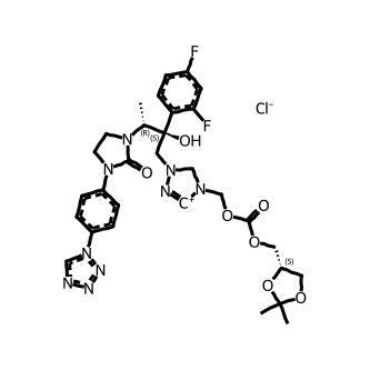 C[C@@H](N1CCN(c2ccc(-n3cnnn3)cc2)C1=O)[C@@](O)(CN1CN(COC(=O)OC[C@@H]2COC(C)(C)O2)[C+]=N1)c1ccc(F)cc1F.[Cl-]